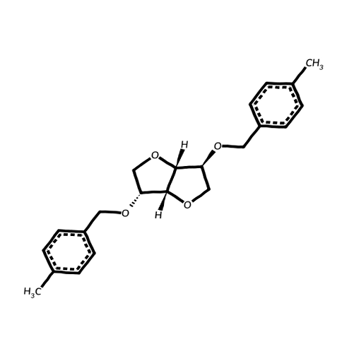 Cc1ccc(CO[C@H]2CO[C@H]3[C@@H]2OC[C@H]3OCc2ccc(C)cc2)cc1